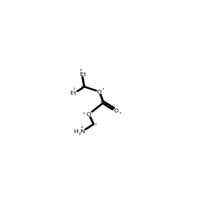 CCC(CC)OC(=O)OCN